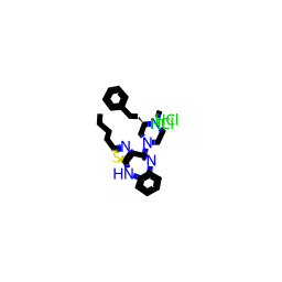 CCCCc1nc2c(s1)Nc1ccccc1N=C2N1CCN(C)[C@@H](CCc2ccccc2)C1.Cl.Cl